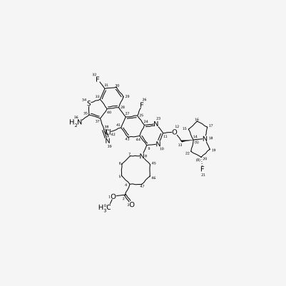 COC(=O)C1CCCN(c2nc(OC[C@@]34CCCN3C[C@H](F)C4)nc3c(F)c(-c4ccc(F)c5sc(N)c(C#N)c45)c(Cl)cc23)CCC1